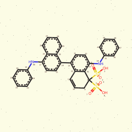 O=S(=O)(O)C1(S(=O)(=O)O)CC=Cc2c(-c3ccc(Nc4ccccc4)c4ccccc34)ccc(Nc3ccccc3)c21